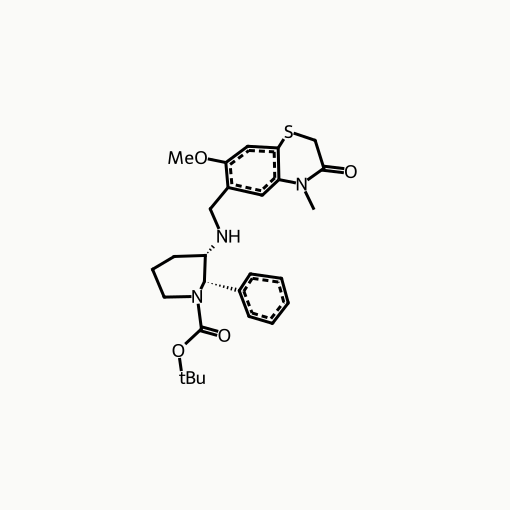 COc1cc2c(cc1CN[C@H]1CCCN(C(=O)OC(C)(C)C)[C@H]1c1ccccc1)N(C)C(=O)CS2